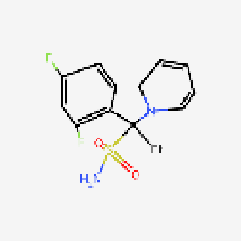 CCC(c1ccc(F)cc1F)(N1C=CC=CC1)S(N)(=O)=O